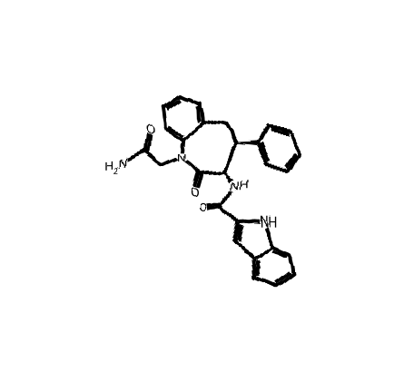 NC(=O)CN1C(=O)[C@H](NC(=O)c2cc3ccccc3[nH]2)[C@H](c2ccccc2)Cc2ccccc21